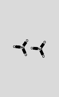 [O]=[Nd](=[O])=[O].[O]=[Nd](=[O])=[O]